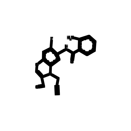 C#CCN1C(C=O)=COc2cc(F)c(NC(=O)c3ccccc3N)cc21